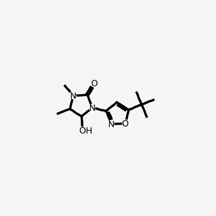 CC1C(O)N(c2cc(C(C)(C)C)on2)C(=O)N1C